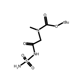 CN(CC(=O)NS(N)(=O)=O)C(=O)OC(C)(C)C